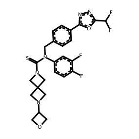 Fc1ccc(N(Cc2ccc(-c3nnc(C(F)F)o3)cc2)C(=S)N2CC3(C2)CN(C2COC2)C3)cc1F